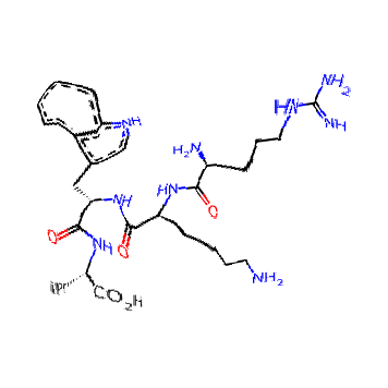 CC(C)[C@H](NC(=O)[C@H](Cc1c[nH]c2ccccc12)NC(=O)[C@H](CCCCN)NC(=O)[C@@H](N)CCCNC(=N)N)C(=O)O